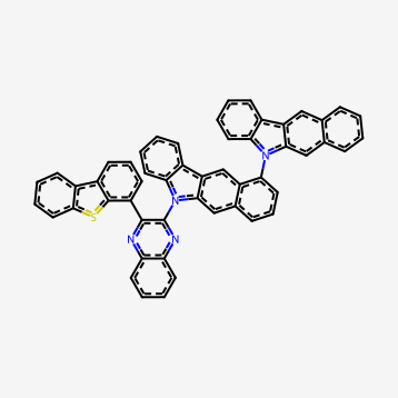 c1ccc2cc3c(cc2c1)c1ccccc1n3-c1cccc2cc3c(cc12)c1ccccc1n3-c1nc2ccccc2nc1-c1cccc2c1sc1ccccc12